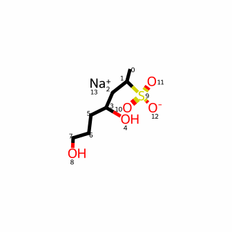 CC(CC(O)CCCO)S(=O)(=O)[O-].[Na+]